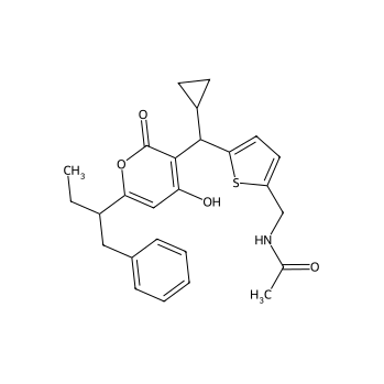 CCC(Cc1ccccc1)c1cc(O)c(C(c2ccc(CNC(C)=O)s2)C2CC2)c(=O)o1